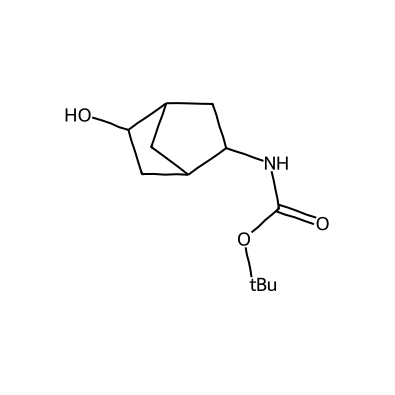 CC(C)(C)OC(=O)NC1CC2CC1CC2O